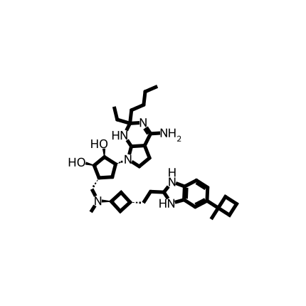 CCCCC1(CC)N=C(N)C2CCN([C@@H]3C[C@H](CN(C)[C@H]4C[C@H](CCC5Nc6ccc(C7(C)CCC7)cc6N5)C4)[C@@H](O)[C@H]3O)C2N1